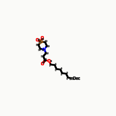 CCCCCCCCCCCCCCCCCOC(=O)CCN1CCS(=O)(=O)CC1